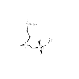 CCO[Si](C)(C)CN(C)CCNC